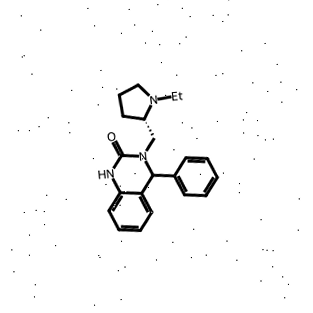 CCN1CCC[C@H]1CN1C(=O)Nc2ccccc2C1c1ccccc1